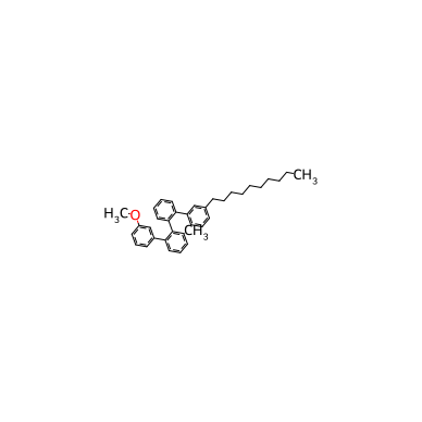 CCCCCCCCCCc1cccc(-c2ccccc2-c2c(C)cccc2-c2cccc(OC)c2)c1